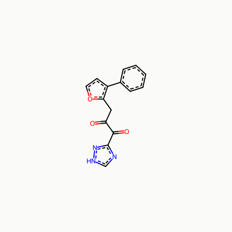 O=C(Cc1occc1-c1ccccc1)C(=O)c1nc[nH]n1